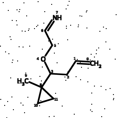 C=CCC(OCC=N)C1(C)CC1